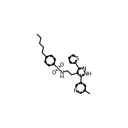 CCCCCc1ccc(S(=O)(=O)NCCc2c(-c3cccs3)n[nH]c2-c2cncc(C)c2)cc1